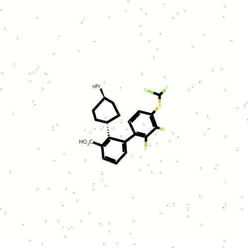 CCC[C@H]1CC[C@H](c2c(C(=O)O)cccc2-c2ccc(SC(F)F)c(F)c2F)CC1